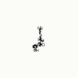 CCN(C(=S)CCSCCCC(F)(F)F)c1cn(-c2ccc[n+](O)c2)nc1Cl